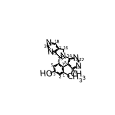 Cc1cc(O)ccc1-c1c(C)ncnc1N1Cc2cncnc2C1